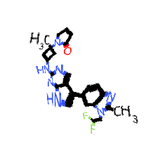 Cc1nc2ccc(-c3c[nH]c4nc(NC5CC(C)(N6CCCC6=O)C5)ncc34)cc2n1CC(F)F